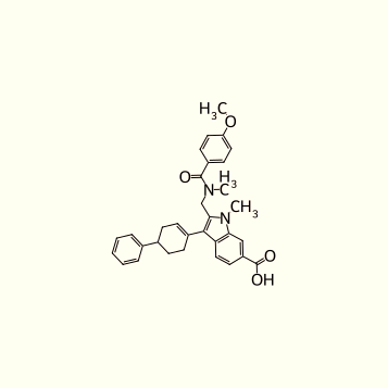 COc1ccc(C(=O)N(C)Cc2c(C3=CCC(c4ccccc4)CC3)c3ccc(C(=O)O)cc3n2C)cc1